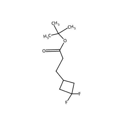 CC(C)(C)OC(=O)CCC1CC(F)(F)C1